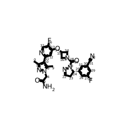 Cc1nn(CC(N)=O)c(C)c1-c1cc(OC2CN(C(=O)N3N=CC[C@H]3c3cc(F)cc(C#N)c3)C2)c(F)cn1